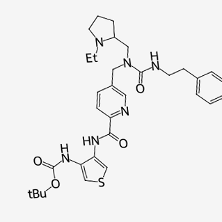 CCN1CCCC1CN(Cc1ccc(C(=O)Nc2cscc2NC(=O)OC(C)(C)C)nc1)C(=O)NCCc1ccccc1